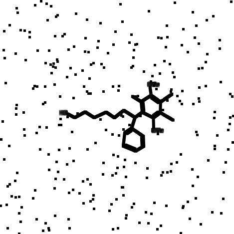 COc1c(C)c(C)c(OC)c(C(CCCCCCO)c2ccccc2)c1C